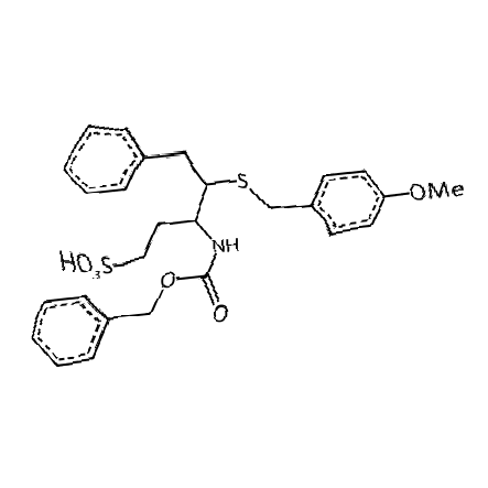 COc1ccc(CSC(Cc2ccccc2)C(CCS(=O)(=O)O)NC(=O)OCc2ccccc2)cc1